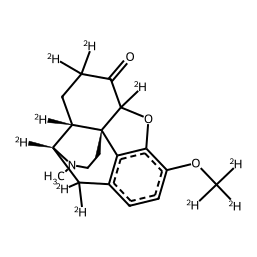 [2H]C([2H])([2H])Oc1ccc2c3c1OC1([2H])C(=O)C([2H])([2H])C[C@]4([2H])[C@@]31CCN(C)[C@]4([2H])C2([2H])[2H]